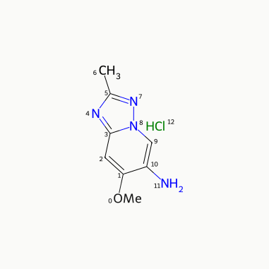 COc1cc2nc(C)nn2cc1N.Cl